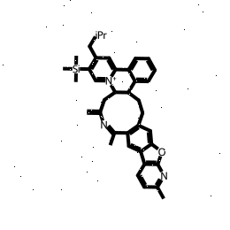 C=C1CC2C(CCc3cc4oc5nc(C)ccc5c4cc3/C(C)=N\1)c1ccccc1-c1cc(CC(C)C)c([Si](C)(C)C)c[n+]12